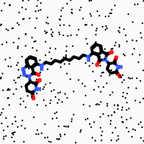 O=C1CCC(N2C(=O)c3cccc(NCCCCCCCCCNc4cccc5nnn(C6CCC(=O)NC6=O)c(=O)c45)c3C2=O)C(=O)N1